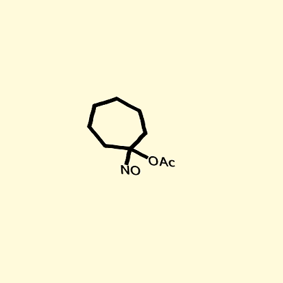 CC(=O)OC1(N=O)CCCCCC1